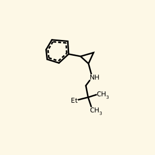 CCC(C)(C)CNC1CC1c1ccccc1